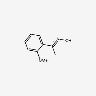 COc1ccccc1/C(C)=N/O